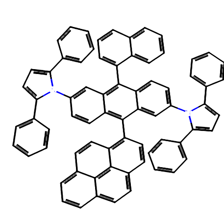 c1ccc(-c2ccc(-c3ccccc3)n2-c2ccc3c(-c4ccc5ccc6cccc7ccc4c5c67)c4cc(-n5c(-c6ccccc6)ccc5-c5ccccc5)ccc4c(-c4cccc5ccccc45)c3c2)cc1